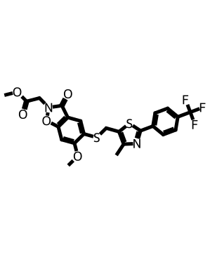 COC(=O)Cn1oc2cc(OC)c(SCc3sc(-c4ccc(C(F)(F)F)cc4)nc3C)cc2c1=O